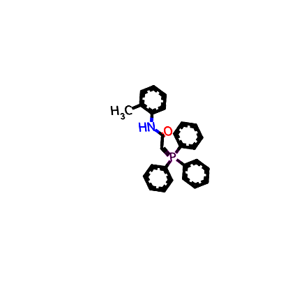 Cc1ccccc1NC(=O)C=P(c1ccccc1)(c1ccccc1)c1ccccc1